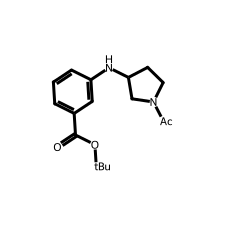 CC(=O)N1CCC(Nc2cccc(C(=O)OC(C)(C)C)c2)C1